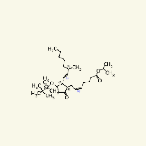 CCCCC[C@@H](C)/C=C/[C@H]1C(O[Si](C)(C)C(C)(C)C)CC(=O)[C@@H]1C/C=C\CCCC(=O)OC(C)C